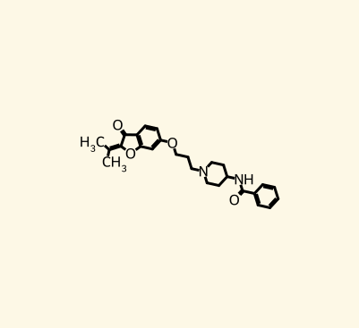 CC(C)=C1Oc2cc(OCCCN3CCC(NC(=O)c4ccccc4)CC3)ccc2C1=O